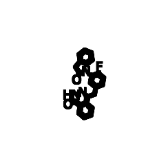 O=C1Cc2ccccc2N1c1cc(Cc2n[nH]c(=O)c3ccccc23)ccc1F